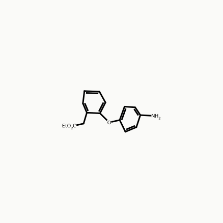 CCOC(=O)Cc1ccccc1Oc1ccc(N)cc1